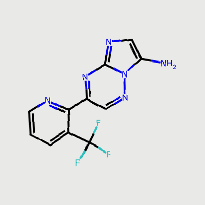 Nc1cnc2nc(-c3ncccc3C(F)(F)F)cnn12